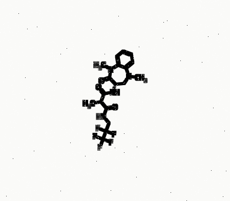 CC(C(=O)NCC(F)(F)C(F)(F)F)C(=O)N[C@H]1CN(C)c2ccccc2N(C)C1=O